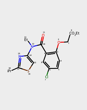 CCOC(=O)COc1ccc(Cl)cc1C(=O)N(CC)c1csc(C(C)C)n1